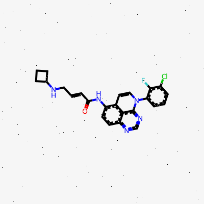 O=C(/C=C/CNC1CCC1)Nc1ccc2ncnc3c2c1C=CN3c1cccc(Cl)c1F